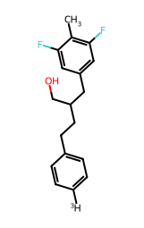 [3H]c1ccc(CCC(CO)Cc2cc(F)c(C)c(F)c2)cc1